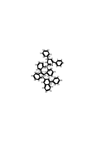 C1=C(c2ccccc2)N=C(N2c3ccccc3-c3c(n(-c4cc(-c5ccccc5)c5ccccc5c4)c4ccccc34)-c3ccccc32)CC1c1ccccc1